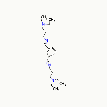 CCN(CC)CCC/N=C/c1cccc(/C=N/CCCN(CC)CC)c1